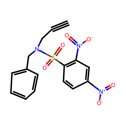 C#CCN(Cc1ccccc1)S(=O)(=O)c1ccc([N+](=O)[O-])cc1[N+](=O)[O-]